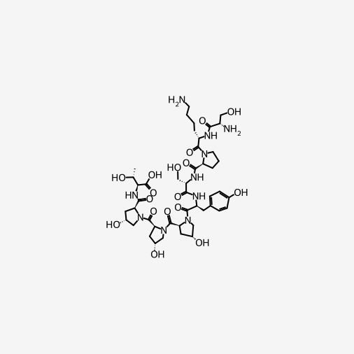 C[C@@H](O)[C@H](NC(=O)[C@@H]1C[C@@H](O)CN1C(=O)[C@@H]1C[C@@H](O)CN1C(=O)[C@@H]1C[C@@H](O)CN1C(=O)[C@H](Cc1ccc(O)cc1)NC(=O)[C@H](CO)NC(=O)[C@@H]1CCCN1C(=O)[C@H](CCCCN)NC(=O)[C@@H](N)CO)C(=O)O